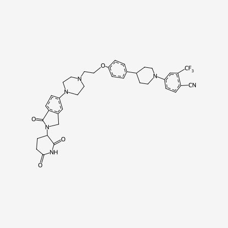 N#Cc1ccc(N2CCC(c3ccc(OCCN4CCN(c5ccc6c(c5)CN(C5CCC(=O)NC5=O)C6=O)CC4)cc3)CC2)cc1C(F)(F)F